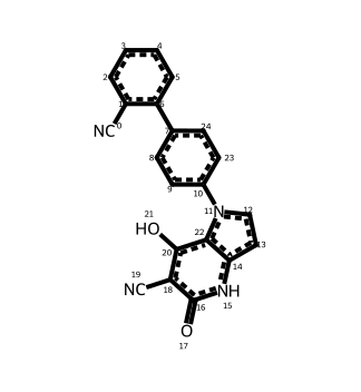 N#Cc1ccccc1-c1ccc(-n2ccc3[nH]c(=O)c(C#N)c(O)c32)cc1